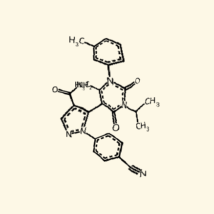 Cc1cccc(-n2c(C)c(-c3c(C(N)=O)cnn3-c3ccc(C#N)cc3)c(=O)n(C(C)C)c2=O)c1